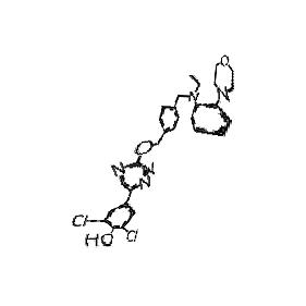 CCN(Cc1ccc(COc2ncc(-c3cc(Cl)c(O)c(Cl)c3)nn2)cc1)c1ccccc1N1CCOCC1